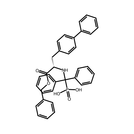 O=C(OCc1ccccc1)[C@H](Cc1ccc(-c2ccccc2)cc1)NC(c1ccccc1)(c1ccccc1)P(=O)(O)O